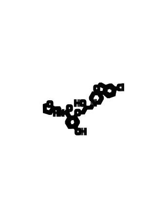 O=C(NCC1CCCO1)c1ccc(O)cc1OC[C@@H](O)CN1CCC2(CC1)OCc1cc(Cl)ccc12